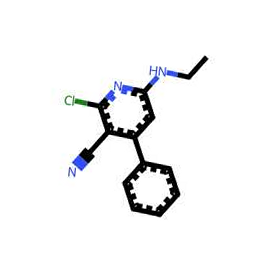 CCNc1cc(-c2ccccc2)c(C#N)c(Cl)n1